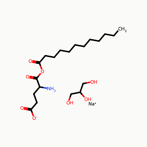 CCCCCCCCCCCC(=O)OC(=O)C(N)CCC(=O)[O-].OCC(O)CO.[Na+]